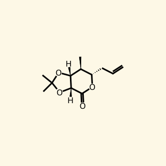 C=CC[C@@H]1OC(=O)[C@@H]2OC(C)(C)O[C@@H]2[C@H]1C